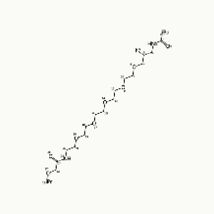 CCC(C)C(=O)NCC(F)COCCOCCOCCOCCOCCNC(=O)COC(C)C